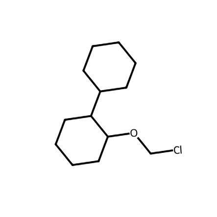 ClCOC1CCCCC1C1CCCCC1